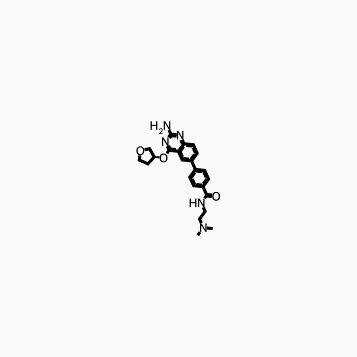 CN(C)CCNC(=O)c1ccc(-c2ccc3nc(N)nc(O[C@H]4CCOC4)c3c2)cc1